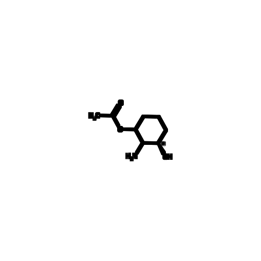 CC(=O)OC1CCC[C@@H](O)C1N